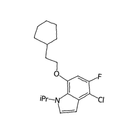 CC(C)n1ccc2c(Cl)c(F)cc(OCCC3CCCCC3)c21